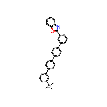 C[Si](C)(C)c1cccc(-c2ccc(-c3ccc(-c4cccc(-c5nc6ccccc6o5)c4)cc3)cc2)c1